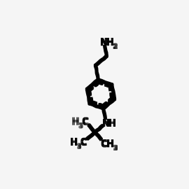 CC(C)(C)Nc1ccc(CCN)cc1